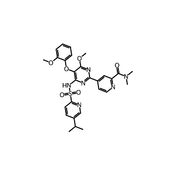 COc1ccccc1Oc1c(NS(=O)(=O)c2ccc(C(C)C)cn2)nc(-c2ccnc(C(=O)N(C)C)c2)nc1OC